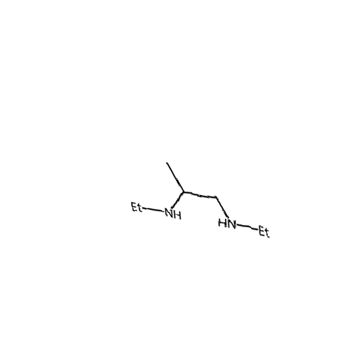 CCNCC(C)NCC